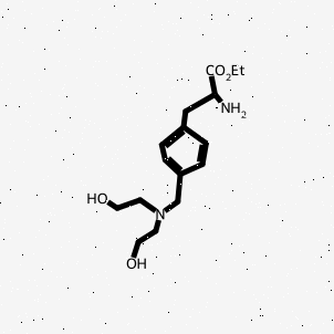 CCOC(=O)C(N)Cc1ccc(CN(CCO)CCO)cc1